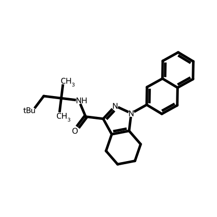 CC(C)(C)CC(C)(C)NC(=O)c1nn(-c2ccc3ccccc3c2)c2c1CCCC2